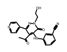 CC(=O)c1c(-c2ccncc2)nn(CCO)c(=O)c1Nc1cccc(C#N)c1